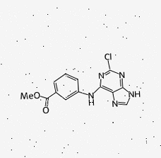 COC(=O)c1cccc(Nc2nc(Cl)nc3[nH]cnc23)c1